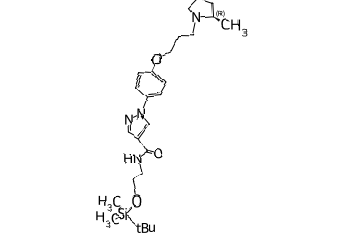 C[C@@H]1CCCN1CCCOc1ccc(-n2cc(C(=O)NCCO[Si](C)(C)C(C)(C)C)cn2)cc1